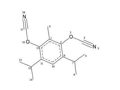 Cc1c(OC#N)c(C(C)C)cc(C(C)C)c1OC#N